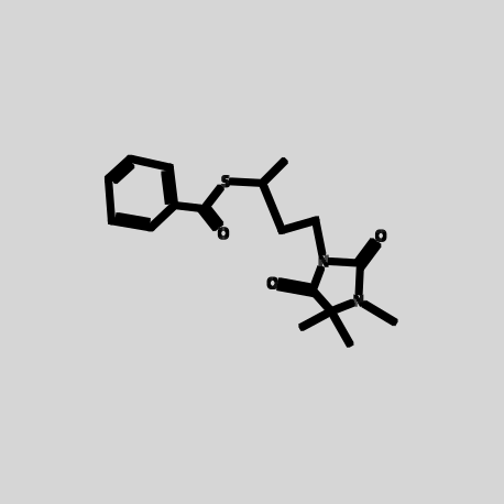 CC(CCN1C(=O)N(C)C(C)(C)C1=O)SC(=O)c1ccccc1